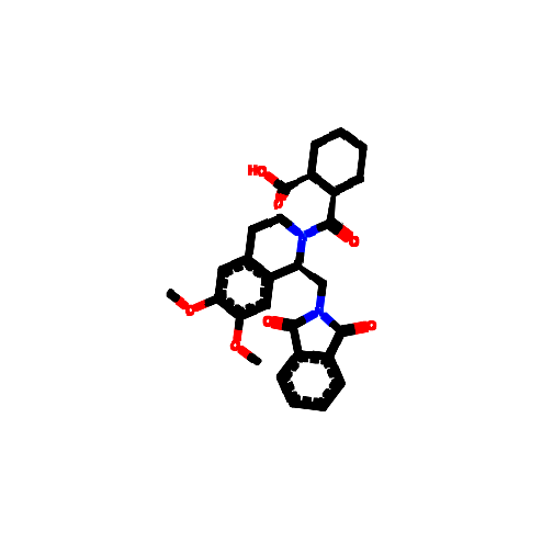 COc1cc2c(cc1OC)[C@H](CN1C(=O)c3ccccc3C1=O)N(C(=O)[C@@H]1CCCC[C@@H]1C(=O)O)CC2